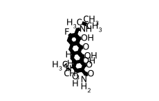 CN(C)[C@@H]1C(O)=C(C(N)=O)C(=O)[C@@]2(O)C(O)=C3C(=O)c4c(cc(F)c(CNC(C)(C)C)c4O)C[C@H]3C[C@@H]12